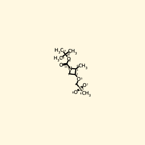 CC1C(OCS(C)(=O)=O)CN1C(=O)OC(C)(C)C